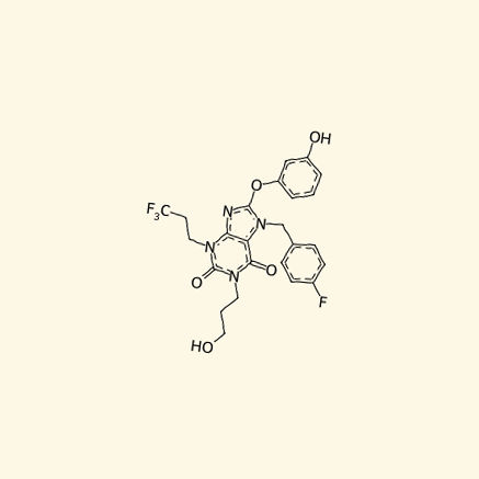 O=c1c2c(nc(Oc3cccc(O)c3)n2Cc2ccc(F)cc2)n(CCC(F)(F)F)c(=O)n1CCCO